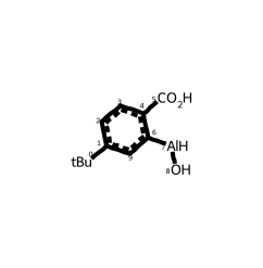 CC(C)(C)c1ccc(C(=O)O)[c]([AlH][OH])c1